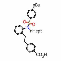 CCCCCCCN(c1ccccc1CCc1ccc(C(=O)O)cc1)S(=O)(=O)c1ccc(CCCC)cc1